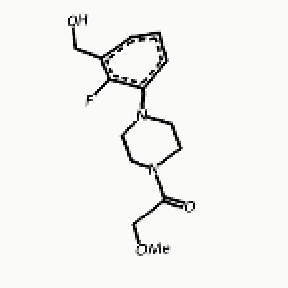 COCC(=O)N1CCN(c2cccc(CO)c2F)CC1